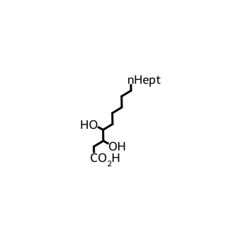 CCCCCCCCCCCCC(O)C(O)CC(=O)O